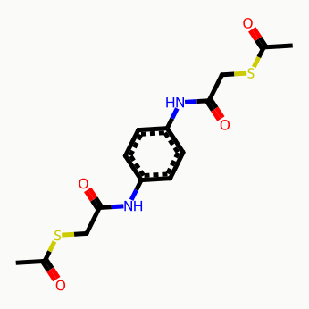 CC(=O)SCC(=O)Nc1ccc(NC(=O)CSC(C)=O)cc1